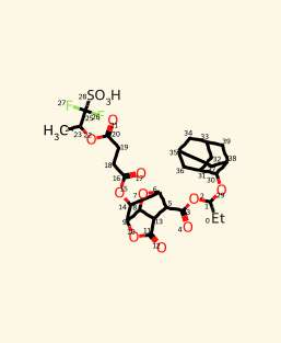 CCC(OC(=O)C1C2OC3C(OC(=O)C31)C2OC(=O)CCC(=O)OC(C)C(F)(F)S(=O)(=O)O)OC1C2CC3CC(C2)CC1C3